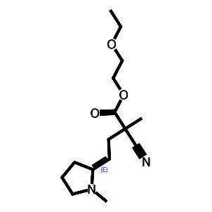 CCOCCOC(=O)C(C)(C#N)C/C=C1\CCCN1C